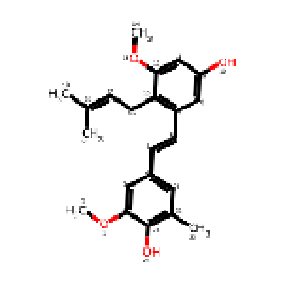 COc1cc(C=Cc2cc(O)cc(OC)c2CC=C(C)C)cc(C)c1O